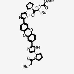 CC[C@H](C)CC(=O)N1CCC[C@H]1c1cnc(-c2ccc3c(c2)Oc2ccc(-c4ncc([C@@H]5CCCN5C(=O)[C@@H](NC(=O)OC)[C@@H](C)CC)[nH]4)cc2O3)[nH]1